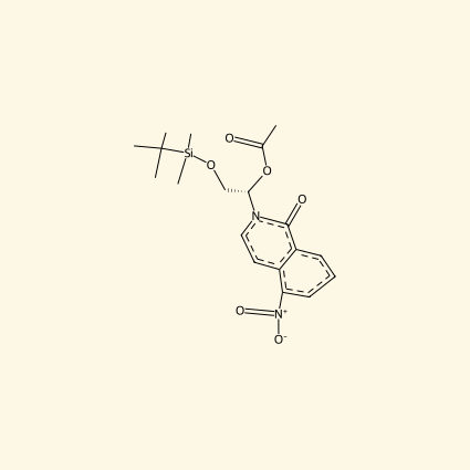 CC(=O)O[C@@H](CO[Si](C)(C)C(C)(C)C)n1ccc2c([N+](=O)[O-])cccc2c1=O